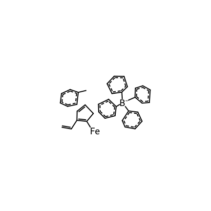 C=CC1=[C]([Fe])CC=C1.Cc1ccccc1.c1ccc([B-](c2ccccc2)(c2ccccc2)c2ccccc2)cc1